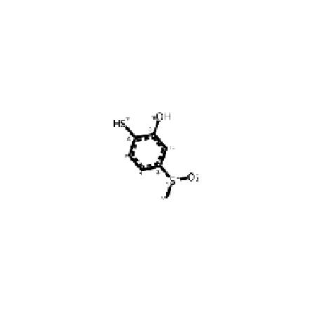 C[S+]([O-])c1ccc(S)c(O)c1